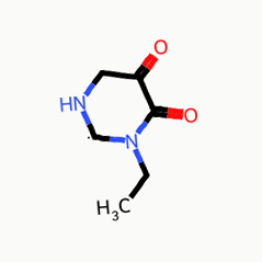 CCN1[CH]NCC(=O)C1=O